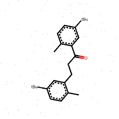 Cc1ccc(C(C)(C)C)cc1CCC(=O)c1cc(C(C)(C)C)ccc1C